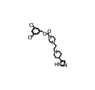 O=C(OCc1cc(Cl)cc(Cl)c1)N1CCN(CCN2CCC(c3cnc[nH]3)CC2)CC1